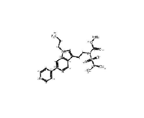 CN(C)S(=O)(=O)N(CCc1cn(CCC(F)(F)F)c2cc(-c3ccncc3)ccc12)C(=O)OC(C)(C)C